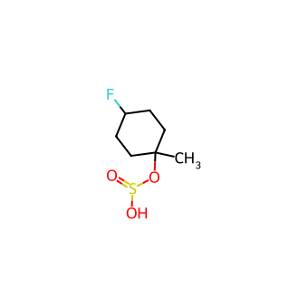 CC1(OS(=O)O)CCC(F)CC1